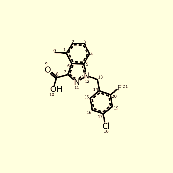 Cc1cccc2c1c(C(=O)O)nn2Cc1ccc(Cl)cc1F